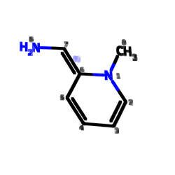 CN1C=CC=C/C1=C\N